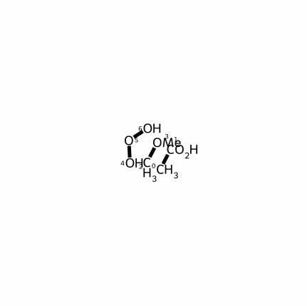 CC(=O)O.COC.OOO